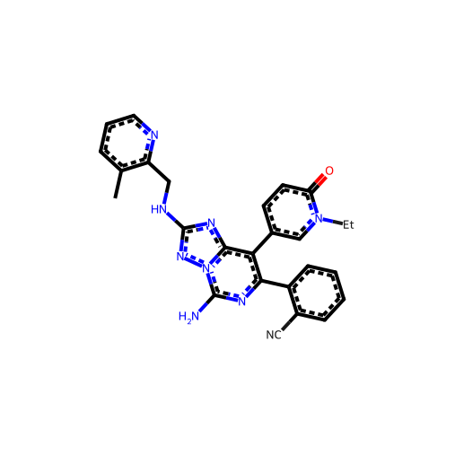 CCn1cc(-c2c(-c3ccccc3C#N)nc(N)n3nc(NCc4ncccc4C)nc23)ccc1=O